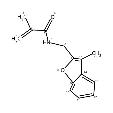 C=C(C)C(=O)NCc1oc2ccccc2c1C